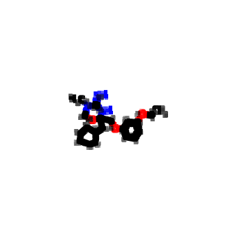 CCOc1cccc(OCC2(CC3CCCCC3)NC(=N)N(C)CO2)c1